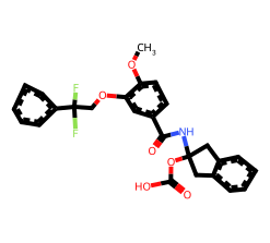 COc1ccc(C(=O)NC2(OC(=O)O)Cc3ccccc3C2)cc1OCC(F)(F)c1ccccc1